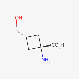 N[C@]1(C(=O)O)C[C@H](CO)C1